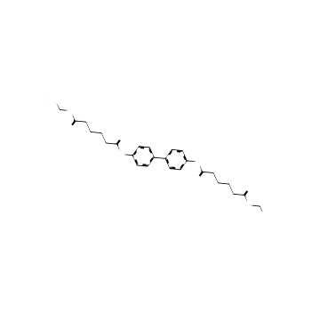 CCOC(=O)CCCCC(=O)Oc1ccc(-c2ccc(OC(=O)CCCCC(=O)OCC)cc2)cc1